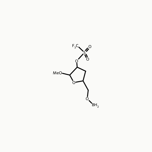 BOCC1CC(OS(=O)(=O)C(F)(F)F)C(OC)O1